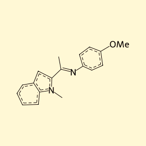 COc1ccc(/N=C(\C)c2cc3ccccc3n2C)cc1